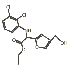 CCOC(=O)C(Nc1cccc(Cl)c1Cl)c1cc(CO)co1